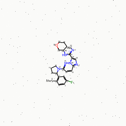 CSc1ccc(F)cc1C1CCCN1c1ccc2ncc(/C(=N/C#N)N[C@@H]3CCCOC3)n2n1